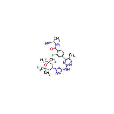 Cc1cnc(Nc2cnn(C3CC(C)(C)OC(C)(C)C3)c2)nc1-c1ccc(C(=O)NC(C)C#N)c(F)c1